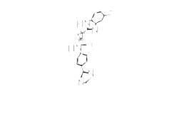 O=C(Nc1ccc(-c2cnccn2)cc1)[C@@H]1C[C@H]1c1nc2cc(F)ccc2[nH]1